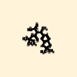 CC(c1ccc2c(c1)OC(C)(C)O2)C(C(=O)O)C(=O)OC(C)(C)C